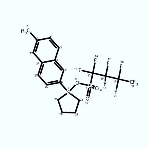 Cc1ccc2cc(S3(OS(=O)(=O)C(F)(F)C(F)(F)C(F)(F)C(F)(F)F)CCCC3)ccc2c1